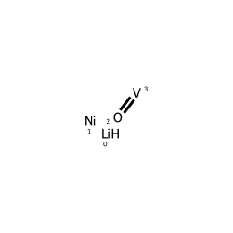 [LiH].[Ni].[O]=[V]